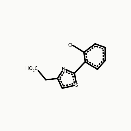 O=C(O)Cc1csc(-c2ccccc2Cl)n1